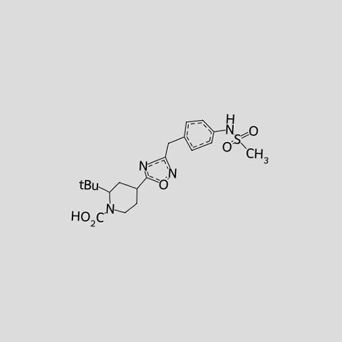 CC(C)(C)C1CC(c2nc(Cc3ccc(NS(C)(=O)=O)cc3)no2)CCN1C(=O)O